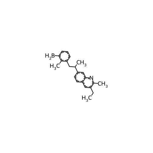 Bc1cccc(CC(C)c2ccc3cc(CC)c(C)nc3c2)c1C